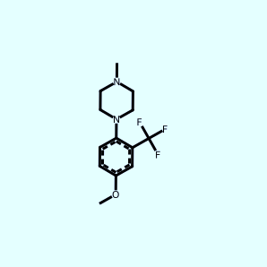 COc1ccc(N2CCN(C)CC2)c(C(F)(F)F)c1